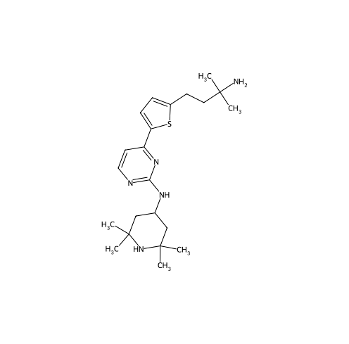 CC(C)(N)CCc1ccc(-c2ccnc(NC3CC(C)(C)NC(C)(C)C3)n2)s1